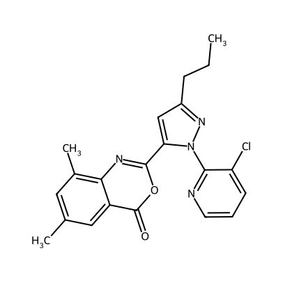 CCCc1cc(-c2nc3c(C)cc(C)cc3c(=O)o2)n(-c2ncccc2Cl)n1